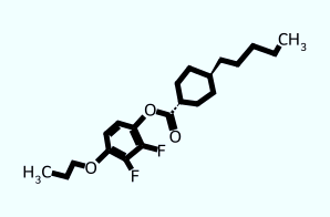 CCCCC[C@H]1CC[C@H](C(=O)Oc2ccc(OCCC)c(F)c2F)CC1